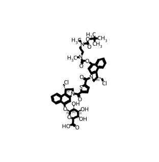 CN(CCN(C)C(=O)OC(C)(C)C)C(=O)Oc1cc2c(c3ccccc13)[C@H](CCl)CN2C(=O)c1ccc(C(=O)N2C[C@@H](CCl)c3c2cc(O[C@@H]2OC(C(=O)O)[C@@H](O)[C@H](O)[C@H]2O)c2ccccc32)s1